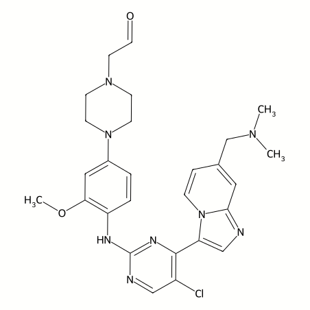 COc1cc(N2CCN(CC=O)CC2)ccc1Nc1ncc(Cl)c(-c2cnc3cc(CN(C)C)ccn23)n1